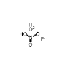 O.O=[N+]([O-])O.[Pr]